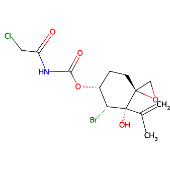 C=C(C)[C@@]1(O)[C@H](Br)[C@H](OC(=O)NC(=O)CCl)CC[C@]12CO2